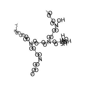 CCCC(=O)OCCCCOC(=O)CCN(CCCO)CCC(=O)OCCCCOC(=O)CCN(CCCOC(=O)CCC[C@@H]1SC[C@@H]2NC(=O)N[C@@H]21)CCC(=O)OCCCCOC(=O)CCN(CCCOC(=O)OC1CC[C@@]2(C)C(=CCC3C4CCC([C@H](C)CCCC(C)C)[C@@]4(C)CCC32)C1)CCC(=O)OCCCCOC(=O)CCN(C)CCCOC(=O)CCC(=O)OCCOC